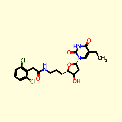 CCc1cn([C@@H]2CC(O)[C@H](CCCNC(=O)Cc3c(Cl)cccc3Cl)O2)c(=O)[nH]c1=O